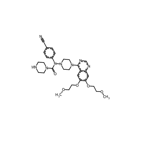 COCCOc1cc2ncnc(N3CCN(N(C(=O)N4CCNCC4)c4ccc(C#N)cc4)CC3)c2cc1OCCOC